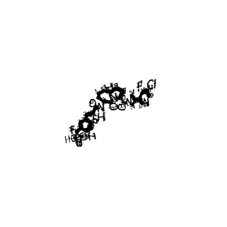 O=C(N[C@H]1CCC[C@H]2CC[C@@H](C(=O)N3CC(c4cncc(Cl)c4F)C3)N2C1=O)c1cc2cc(C(F)P(=O)(O)O)ccc2s1